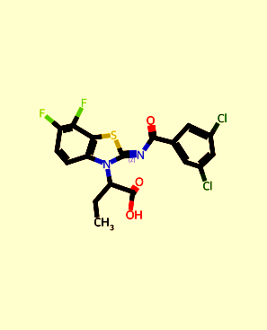 CCC(C(=O)O)n1/c(=N/C(=O)c2cc(Cl)cc(Cl)c2)sc2c(F)c(F)ccc21